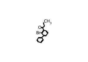 CCCC(=O)c1cccc(-c2ccccc2)c1Br